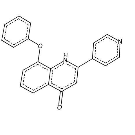 O=c1cc(-c2ccncc2)[nH]c2c(Oc3ccccc3)cccc12